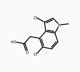 Cn1cc(Cl)c2c(CC(=O)O)c(Cl)ccc21